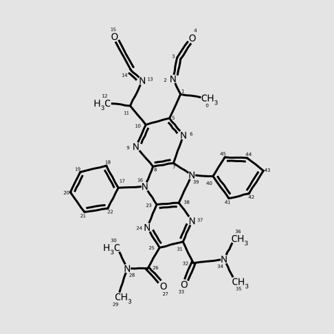 CC(N=C=O)c1nc2c(nc1C(C)N=C=O)N(c1ccccc1)c1nc(C(=O)N(C)C)c(C(=O)N(C)C)nc1N2c1ccccc1